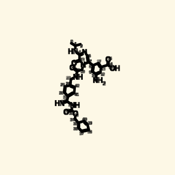 CC(C)Nc1ncc(-c2cc(N)cc(C(=O)O)c2)n(CC(=O)NCc2ccc(C(=N)NC(=O)OCc3ccccc3)cc2)c1=O